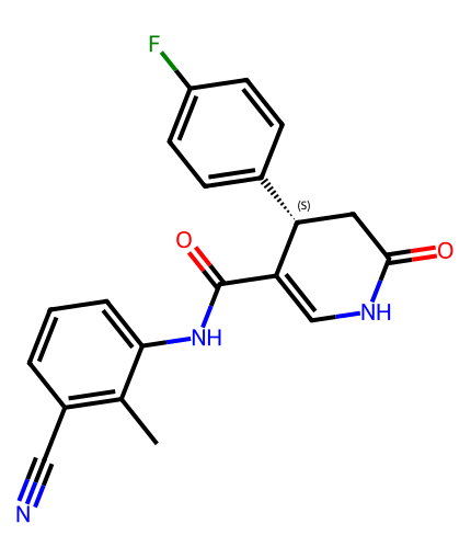 Cc1c(C#N)cccc1NC(=O)C1=CNC(=O)C[C@H]1c1ccc(F)cc1